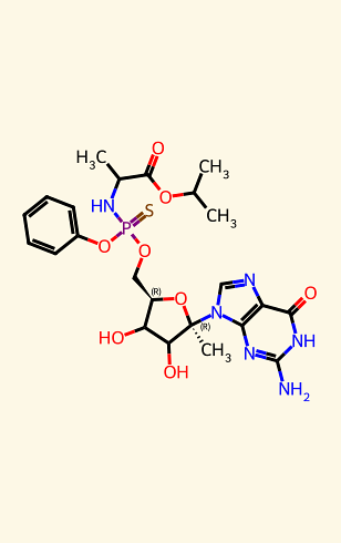 CC(C)OC(=O)C(C)NP(=S)(OC[C@H]1O[C@@](C)(n2cnc3c(=O)[nH]c(N)nc32)C(O)C1O)Oc1ccccc1